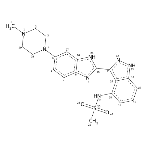 CN1CCN(c2ccc3nc(-c4n[nH]c5cccc(NS(C)(=O)=O)c45)[nH]c3c2)CC1